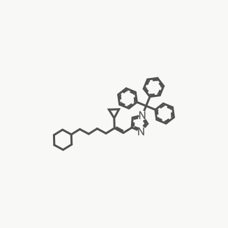 C(=C(\CCCCC1CCCCC1)C1CC1)/c1cn(C(c2ccccc2)(c2ccccc2)c2ccccc2)cn1